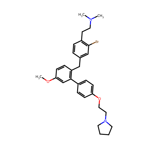 COc1ccc(Cc2ccc(CCN(C)C)c(Br)c2)c(-c2ccc(OCCN3CCCC3)cc2)c1